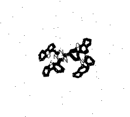 c1ccc2cc3c(cc2c1)c1ccccc1n3-c1cc(-c2nc(-c3cccc4c3oc3ccccc34)nc(-c3cccc4c3sc3ccccc34)n2)cc2oc3c4ccccc4ccc3c12